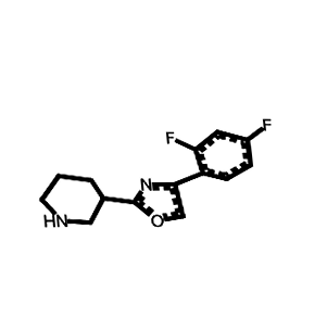 Fc1ccc(-c2coc(C3CCCNC3)n2)c(F)c1